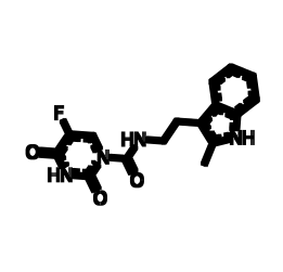 Cc1[nH]c2ccccc2c1CCNC(=O)n1cc(F)c(=O)[nH]c1=O